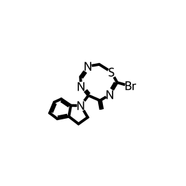 C=C1/N=C(/Br)SC/N=C\N=C/1N1CCc2ccccc21